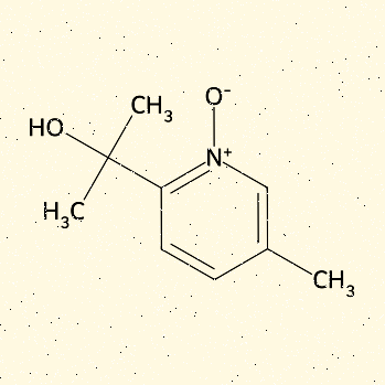 Cc1ccc(C(C)(C)O)[n+]([O-])c1